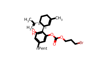 C=C(C)[C@@H]1CCC(C)=C[C@H]1c1c(O)cc(CCCCC)cc1OC(=O)OCCCBr